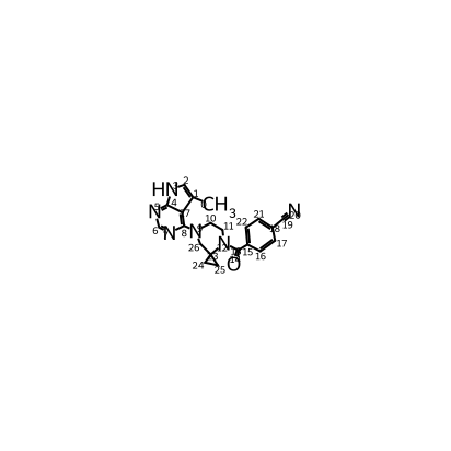 Cc1c[nH]c2ncnc(N3CCN(C(=O)c4ccc(C#N)cc4)C4(CC4)C3)c12